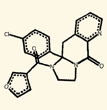 O=C(c1ccoc1)N1CCN2C(=O)c3ncccc3CC12c1ccc(Cl)cc1